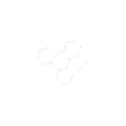 CO.c1ccc(-c2ccccc2-c2ccccc2)cc1